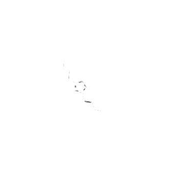 CC/C=C/[n+]1ccn(CCCC)c1